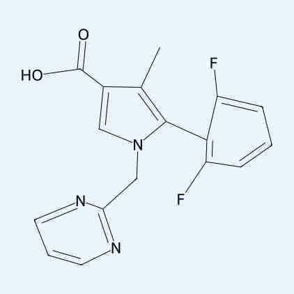 Cc1c(C(=O)O)cn(Cc2ncccn2)c1-c1c(F)cccc1F